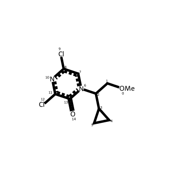 COCC(C1CC1)n1cc(Cl)nc(Cl)c1=O